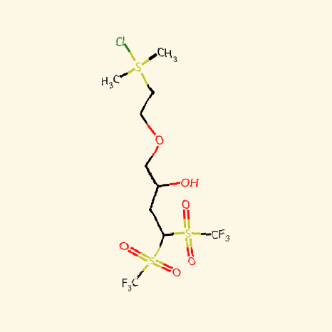 CS(C)(Cl)CCOCC(O)CC(S(=O)(=O)C(F)(F)F)S(=O)(=O)C(F)(F)F